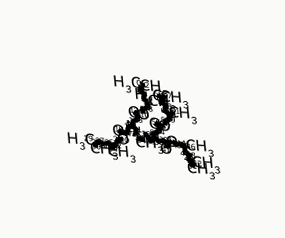 CC(C)=CCC/C(C)=C\COC(=O)CCN(CCC(=O)OC/C=C(/C)CCC=C(C)C)CCN(C)CCN(CCC(=O)OC/C=C(/C)CCC=C(C)C)CCC(=O)OC/C=C(/C)CCC=C(C)C